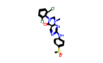 CN1CN(c2c(Cl)cccc2Cl)C(=O)c2cnc(Nc3ccc([S+](C)[O-])cc3)nc21